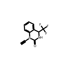 C#CN1C(=O)NC(C(F)(F)F)c2ccccc21